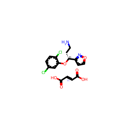 NCC[C@@H](Oc1cc(Cl)ccc1Cl)c1ccon1.O=C(O)/C=C/C(=O)O